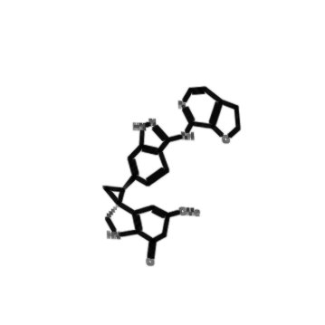 COC1=CC2=C(NC[C@@]23C[C@H]3c2ccc3c(Nc4nccc5c4OCC5)n[nH]c3c2)C(=O)C1